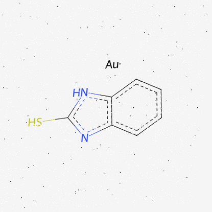 Sc1nc2ccccc2[nH]1.[Au]